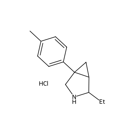 CCC1NCC2(c3ccc(C)cc3)CC12.Cl